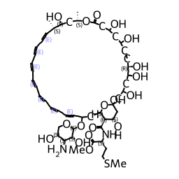 COC(=O)[C@H](CCSC)NC(=O)[C@H]1[C@@H]2CC(O[C@@H]3OC[C@@H](O)[C@H](N)[C@@H]3O)/C=C/C=C/C=C/C=C/C=C/C=C/C=C/[C@H](C)[C@@H](O)C[C@H](C)OC(=O)CC(O)CC(O)CC[C@@H](O)C(O)CC(O)CC(O)(C[C@@H]1O)O2